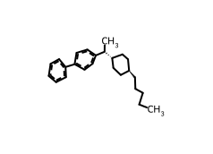 CCCCC[C@H]1CC[C@H](C(C)c2ccc(-c3ccccc3)cc2)CC1